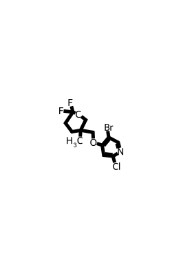 CC1(COc2cc(Cl)ncc2Br)CCC(F)(F)CC1